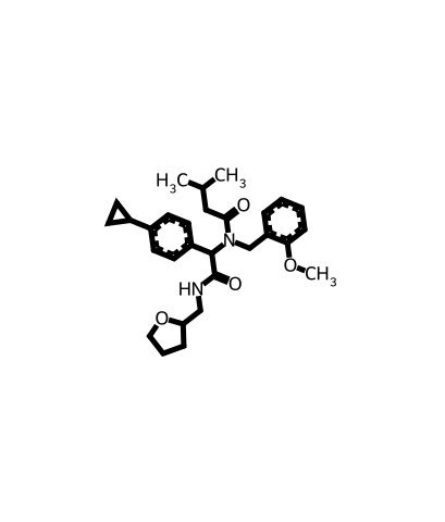 COc1ccccc1CN(C(=O)CC(C)C)C(C(=O)NCC1CCCO1)c1ccc(C2CC2)cc1